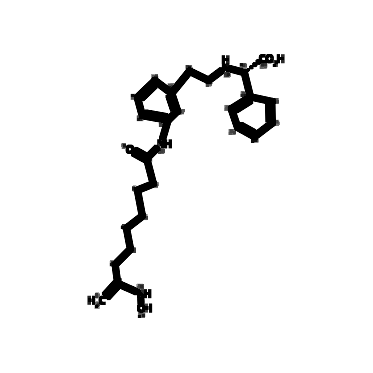 C=C(CCCCCCC(=O)Nc1cccc(CCN[C@H](C(=O)O)c2ccccc2)c1)NO